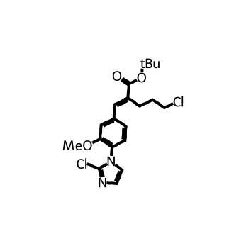 COc1cc(/C=C(\CCCCl)C(=O)OC(C)(C)C)ccc1-n1ccnc1Cl